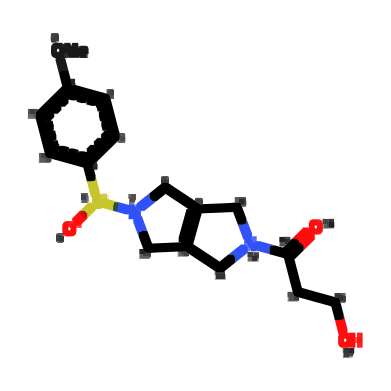 COc1ccc([S+]([O-])N2CC3=C(CN(C(=O)CCO)C3)C2)cc1